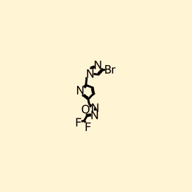 FC(F)c1nnc(-c2ccc(Cn3cnc(Br)c3)nc2)o1